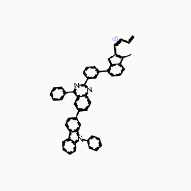 C=C/C=C\C1=C(C)c2cccc(-c3cccc(-c4nc(-c5ccccc5)c5cc(-c6ccc7c8ccccc8n(-c8ccccc8)c7c6)ccc5n4)c3)c2C1